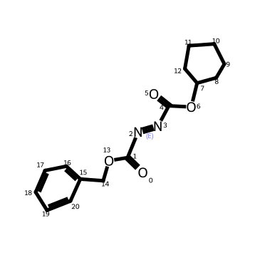 O=C(/N=N/C(=O)OC1CCCCC1)OCc1ccccc1